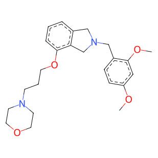 COc1ccc(CN2Cc3cccc(OCCCN4CCOCC4)c3C2)c(OC)c1